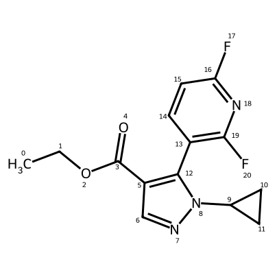 CCOC(=O)c1cnn(C2CC2)c1-c1ccc(F)nc1F